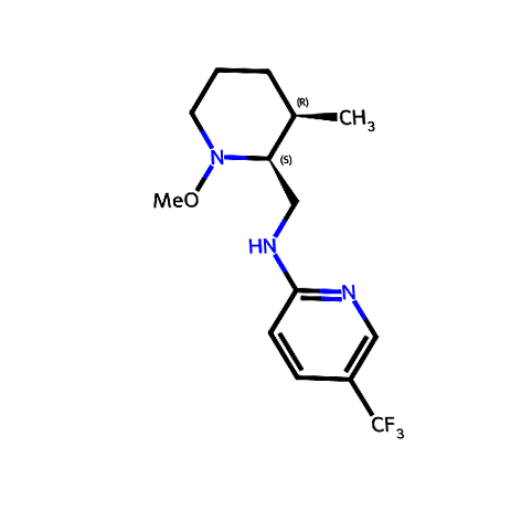 CON1CCC[C@@H](C)[C@H]1CNc1ccc(C(F)(F)F)cn1